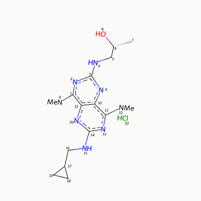 CNc1nc(NC[C@@H](C)O)nc2c(NC)nc(NCC3CC3)nc12.Cl